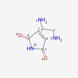 NCCN.O=C1C=CC(=O)N1